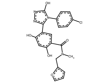 CN(Cc1ccco1)C(=O)c1cc(-c2nnc(O)n2-c2ccc(Cl)cc2)c(O)cc1O